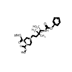 COC(=O)[C@@H]1CN(CCC(C)(C)[C@@H](NC(=O)Oc2ccccc2)C(=O)O)CCN1C(=O)OC(C)(C)C